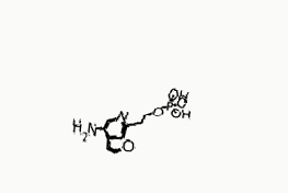 Nc1cnc(CCOCP(=O)(O)O)c2occc12